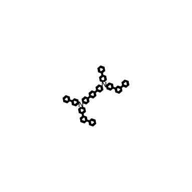 C1=CC(N(c2ccc(-c3ccc(-c4ccc(N(c5ccc(-c6ccccc6)cc5)c5ccc(-c6cccc(-c7ccccc7)c6)cc5)cc4)cc3)cc2)c2ccc(-c3cccc(-c4ccccc4)c3)cc2)CC=C1c1ccccc1